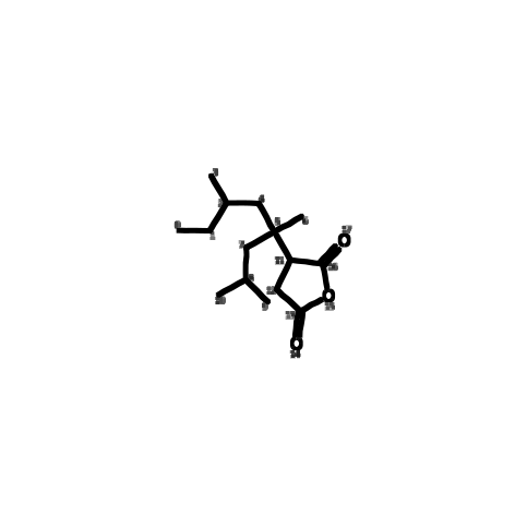 CCC(C)CC(C)(CC(C)C)C1CC(=O)OC1=O